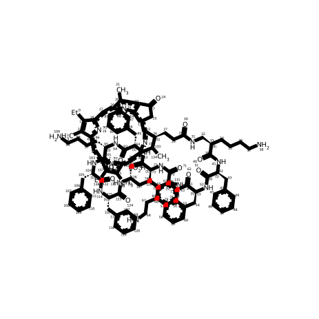 CCC1=C(C)c2cc3[nH]c(cc4nc(c5c6[nH]c(cc1n2)c(C)c6C(=O)C5)[C@@H](CCC(=O)NC[C@@H](CCCCN)C(=O)N[C@@H](Cc1ccccc1)C(=O)N[C@@H](Cc1ccccc1)C(=O)N[C@@H](CCCCN)C(=O)N[C@@H](Cc1ccccc1)C(=O)N[C@@H](Cc1ccccc1)C(=O)N[C@@H](CCCCN)C(=O)N[C@@H](Cc1ccccc1)C(=O)N[C@@H](Cc1ccccc1)C(=O)N[C@@H](CCCCN)C(=O)O)C4C)c(C)c3CC